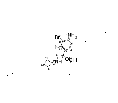 Cl.Nc1ccc(C(O)CNC2CCC2)c(F)c1Br